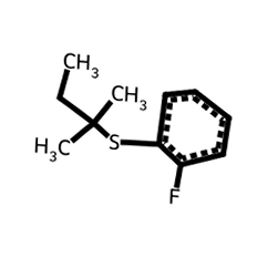 CCC(C)(C)Sc1ccccc1F